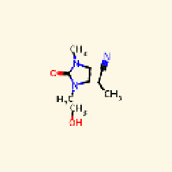 CCC#N.CN1CCN(C)C1=O.CO